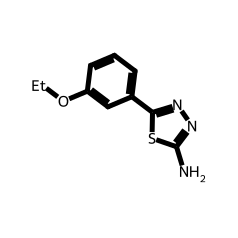 CCOc1cccc(-c2nnc(N)s2)c1